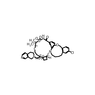 C[C@@H]1[C@@H](C)CCC[C@](O)(CN2CCc3ccncc3C2)[C@@H]2CC[C@H]2CN2CCCCc3cc(Cl)ccc3COc3ccc(cc32)C(=O)NS1(=O)=O